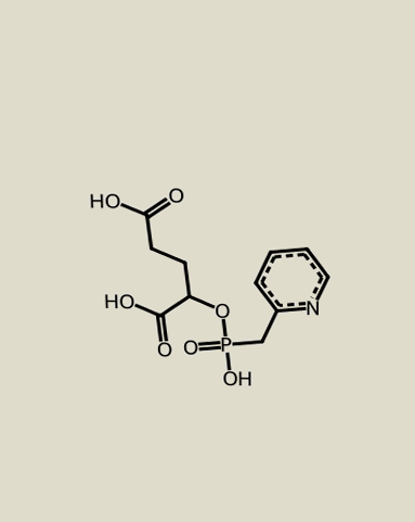 O=C(O)CCC(OP(=O)(O)Cc1ccccn1)C(=O)O